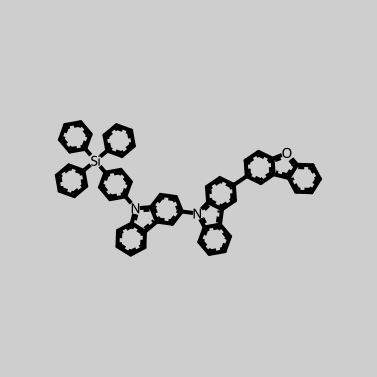 c1ccc([Si](c2ccccc2)(c2ccccc2)c2ccc(-n3c4ccccc4c4cc(-n5c6ccccc6c6cc(-c7ccc8oc9ccccc9c8c7)ccc65)ccc43)cc2)cc1